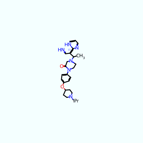 CC(C)N1CCC(Oc2ccc(N3CCN(C(C)/C(C=N)=C4\N=CC=CN4)CC3=O)cc2)CC1